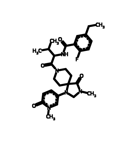 CCc1ccc(F)c(C(=O)NC(C(=O)N2CCC3(CC2)C(=O)N(C)CN3c2ccc(=O)n(C)c2)C(C)C)c1